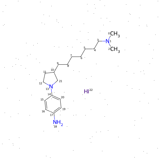 CN(C)CCCCCCCC1CCN(c2ccc(N)cc2)C1.I